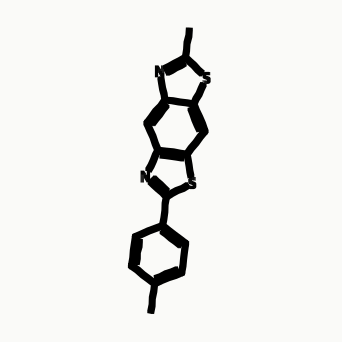 Cc1ccc(-c2nc3cc4nc(C)sc4cc3s2)cc1